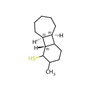 CC1CCC2[C@H](C1S)[C@H]1CCCCC[C@@H]21